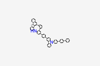 CC1C2=C(C=C3C=CC=CC31)c1cccc(c1)-c1cc(-c3ccc(-c4ccc5c(c4)c4ccccc4n5-c4ccc(-c5ccc(-c6ccccc6)cc5)cc4)cc3)ccc1Nc1ccccc12